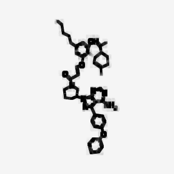 C=C(C)[C@H]1CCC(C)=C[C@@H]1c1c(O)cc(CCCCC)cc1O/C=C/C(=O)N1CCCC(n2nc(-c3ccc(Oc4ccccc4)cc3)c3c(N)ncnc32)C1